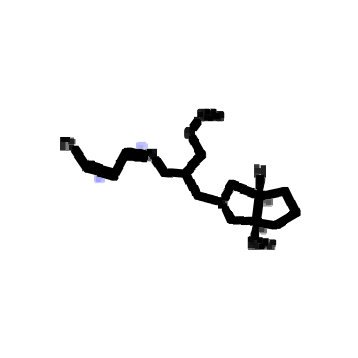 CC/C=C\C=N/CC(COSC)CN1C[C@@H]2CCC[C@]2(NC)C1